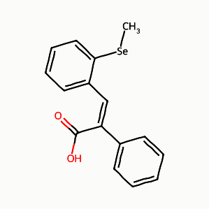 C[Se]c1ccccc1C=C(C(=O)O)c1ccccc1